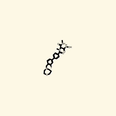 CNC(=O)C(C(=O)NO)N(C)C(=O)c1ccc(-c2ccc(CN3CCCOCC3)c(F)c2)cc1